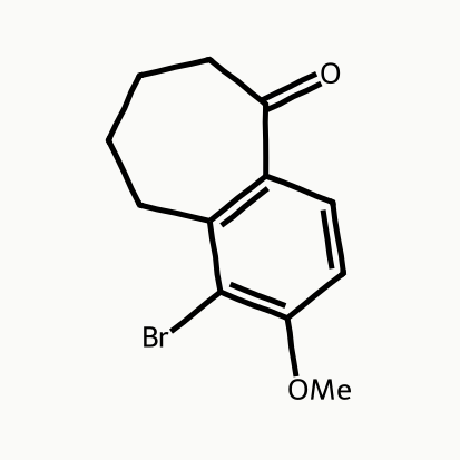 COc1ccc2c(c1Br)CCCCC2=O